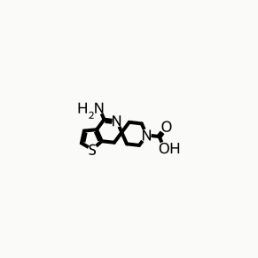 NC1=NC2(CCN(C(=O)O)CC2)Cc2sccc21